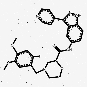 COc1cc(F)c(CN2CCOC(C(=O)Nc3ccc4[nH]nc(-c5ccncc5)c4c3)C2)cc1OC